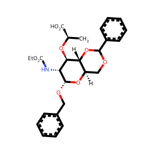 CCOC(=O)N[C@H]1[C@@H](OCc2ccccc2)O[C@@H]2COC(c3ccccc3)O[C@H]2[C@@H]1O[C@H](C)C(=O)O